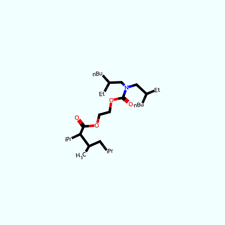 CCCCC(CC)CN(CC(CC)CCCC)C(=O)OCCOC(=O)C(C(C)C)C(C)CC(C)C